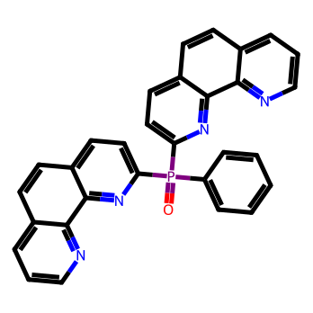 O=P(c1ccccc1)(c1ccc2ccc3cccnc3c2n1)c1ccc2ccc3cccnc3c2n1